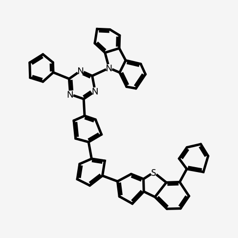 c1ccc(-c2nc(-c3ccc(-c4cccc(-c5ccc6c(c5)sc5c(-c7ccccc7)cccc56)c4)cc3)nc(-n3c4ccccc4c4ccccc43)n2)cc1